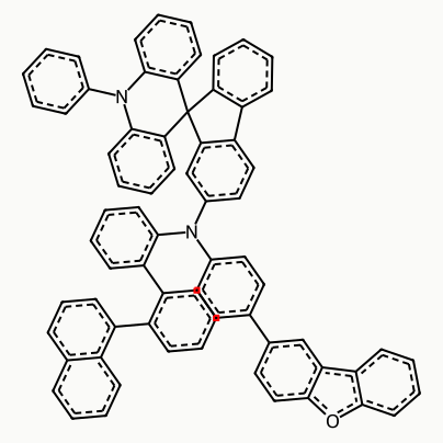 c1ccc(N2c3ccccc3C3(c4ccccc4-c4ccc(N(c5ccc(-c6ccc7oc8ccccc8c7c6)cc5)c5ccccc5-c5ccccc5-c5cccc6ccccc56)cc43)c3ccccc32)cc1